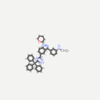 O=[C]Nc1cccc(-c2nn(C3CCCCO3)c3ccc(-c4n[nH]c(C(c5ccccc5)(c5ccccc5)c5ccccc5)n4)cc23)c1